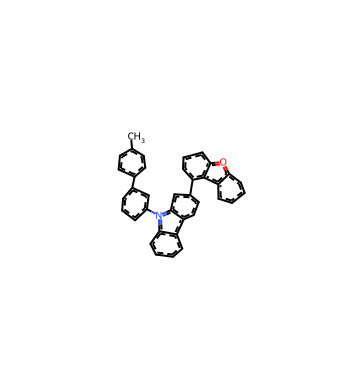 Cc1ccc(-c2cccc(-n3c4ccccc4c4ccc(-c5cccc6oc7ccccc7c56)cc43)c2)cc1